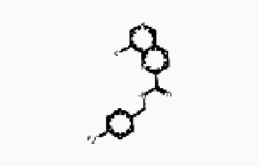 O=C(NCc1ccc(C(F)(F)F)cc1)c1ccc2cncc(Br)c2n1